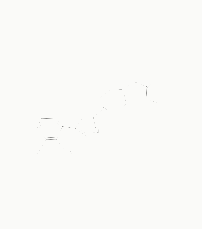 COc1c(Br)cccc1-c1cc(N2CCN(NC(=O)OC(C)(C)C)CC2)[nH]n1